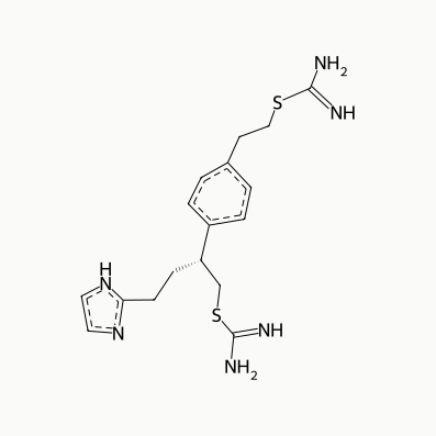 N=C(N)SCCc1ccc([C@@H](CCc2ncc[nH]2)CSC(=N)N)cc1